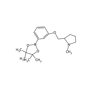 CN1CCCC1COc1cccc(B2OC(C)(C)C(C)(C)O2)c1